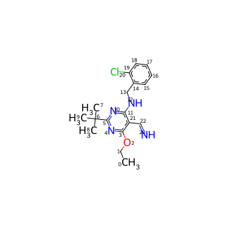 CCOc1nc(C(C)(C)C)nc(NCc2ccccc2Cl)c1C=N